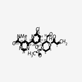 C=CC(=O)N1CCN(S(C)(=O)=O)[C@H](c2cc(Cl)nc(-c3cc(C(=O)NC)ncn3)c2)[C@H]1CO